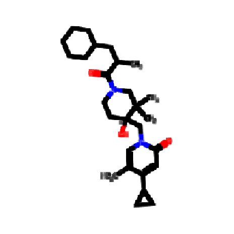 CC(CC1CCCCC1)C(=O)N1CC[C@@](O)(Cn2cc(C(=O)O)c(C3CC3)cc2=O)C(C)(C)C1